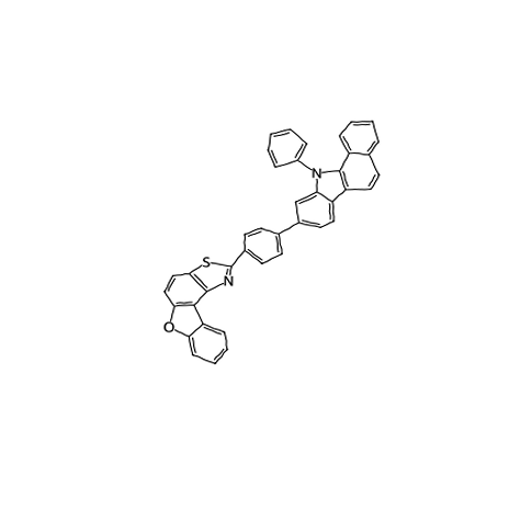 c1ccc(-n2c3cc(-c4ccc(-c5nc6c(ccc7oc8ccccc8c76)s5)cc4)ccc3c3ccc4ccccc4c32)cc1